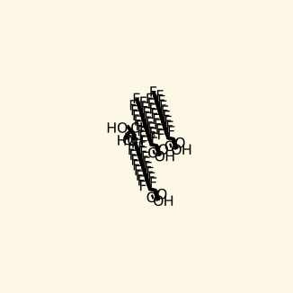 CC(CO)(CO)CO.O=S(=O)(O)CCC(F)(F)C(F)(F)C(F)(F)C(F)(F)C(F)(F)C(F)(F)C(F)(F)C(F)(F)F.O=S(=O)(O)CCC(F)(F)C(F)(F)C(F)(F)C(F)(F)C(F)(F)C(F)(F)C(F)(F)C(F)(F)F.O=S(=O)(O)CCC(F)(F)C(F)(F)C(F)(F)C(F)(F)C(F)(F)C(F)(F)C(F)(F)C(F)(F)F